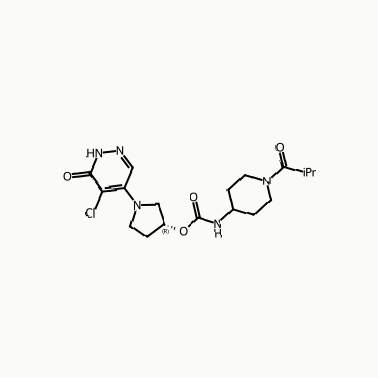 CC(C)C(=O)N1CCC(NC(=O)O[C@@H]2CCN(c3cn[nH]c(=O)c3Cl)C2)CC1